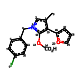 Cc1cn(Cc2ccc(F)cc2)c(OC(=O)O)c1-c1ccco1